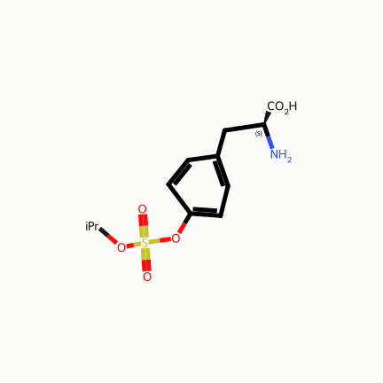 CC(C)OS(=O)(=O)Oc1ccc(C[C@H](N)C(=O)O)cc1